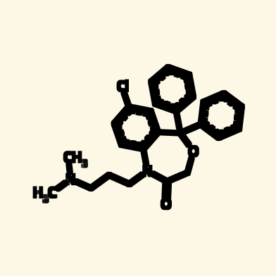 CN(C)CCCN1C(=O)COC(c2ccccc2)(c2ccccc2)c2cc(Cl)ccc21